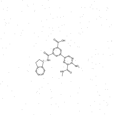 CNC(=O)c1nc(-c2cc(C(=O)O)cc(C(=O)N[C@H]3CCc4ccccc43)c2)cnc1N